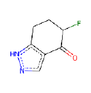 O=C1c2cn[nH]c2CCC1F